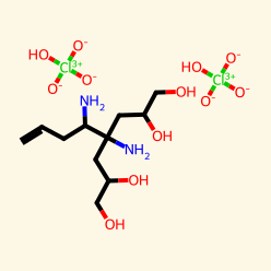 C=CCC(N)C(N)(CC(O)CO)CC(O)CO.[O-][Cl+3]([O-])([O-])O.[O-][Cl+3]([O-])([O-])O